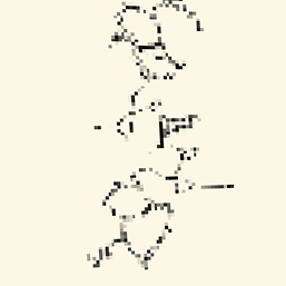 CC1CC1(Cn1cnc2c(N)ncnc21)OP(C)(=O)OC1(Cn2cnc3c(N)ncnc32)CC1C